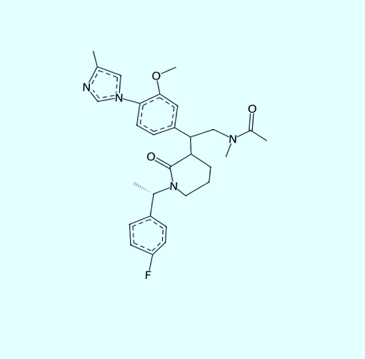 COc1cc(C(CN(C)C(C)=O)C2CCCN([C@@H](C)c3ccc(F)cc3)C2=O)ccc1-n1cnc(C)c1